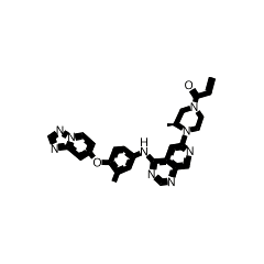 C=CC(=O)N1CCN(c2cc3c(Nc4ccc(Oc5ccn6ncnc6c5)c(C)c4)ncnc3cn2)[C@@H](C)C1